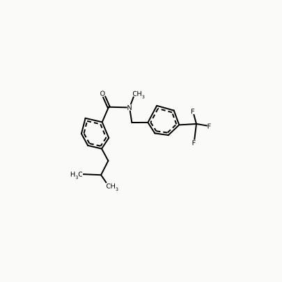 CC(C)Cc1cccc(C(=O)N(C)Cc2ccc(C(F)(F)F)cc2)c1